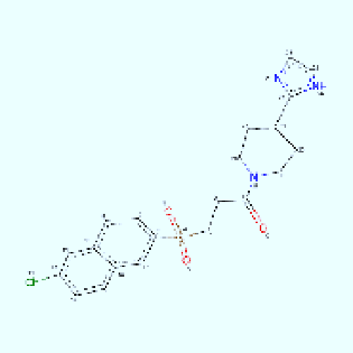 O=C(CCS(=O)(=O)c1ccc2cc(Cl)ccc2c1)N1CCC(c2ncc[nH]2)CC1